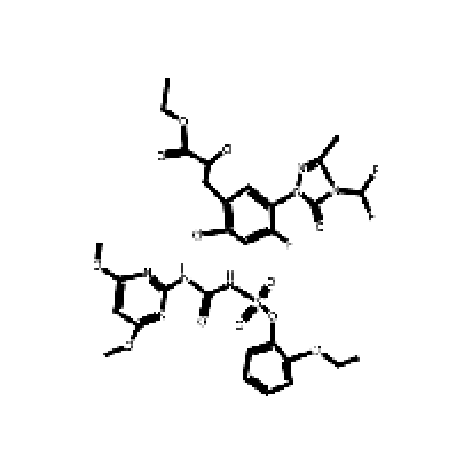 CCOC(=O)C(Cl)Cc1cc(-n2nc(C)n(C(F)F)c2=O)c(F)cc1Cl.CCOc1ccccc1OS(=O)(=O)NC(=O)Nc1nc(OC)cc(OC)n1